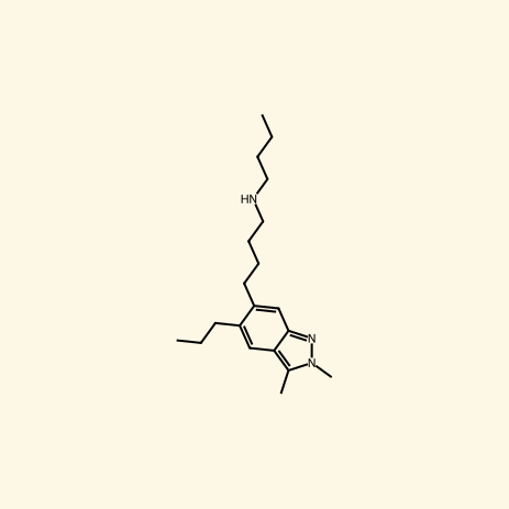 CCCCNCCCCc1cc2nn(C)c(C)c2cc1CCC